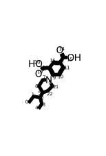 CCC(CC)C1CCN(c2ccc(C(=O)O)cc2C(=O)O)CC1